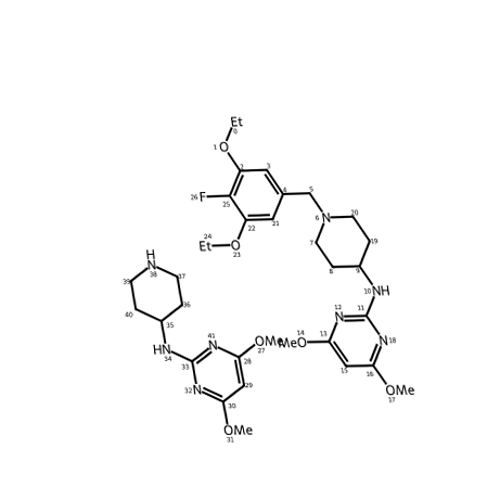 CCOc1cc(CN2CCC(Nc3nc(OC)cc(OC)n3)CC2)cc(OCC)c1F.COc1cc(OC)nc(NC2CCNCC2)n1